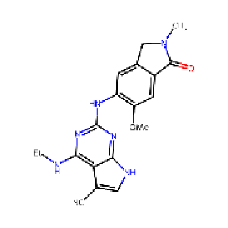 CCNc1nc(Nc2cc3c(cc2OC)C(=O)N(C)C3)nc2[nH]cc(C#N)c12